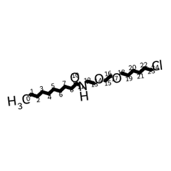 CCCCCCCCCC(=O)NCCOCCOCCCCCCCl